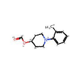 Cc1ccccc1N1CCC(OC=O)CC1